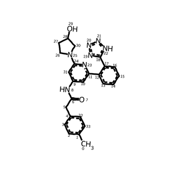 Cc1ccc(CC(=O)Nc2cc(-c3ccccc3-c3nnn[nH]3)nc(N3CCC(O)C3)c2)cc1